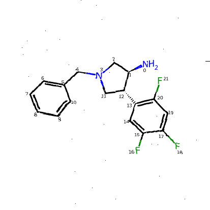 N[C@@H]1CN(Cc2ccccc2)C[C@H]1c1cc(F)c(F)cc1F